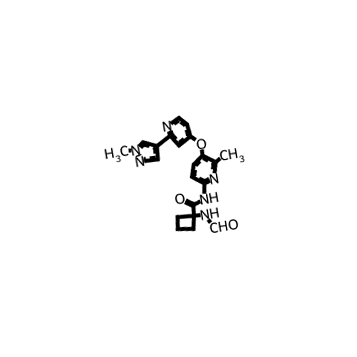 Cc1nc(NC(=O)C2(NC=O)CCC2)ccc1Oc1ccnc(-c2cnn(C)c2)c1